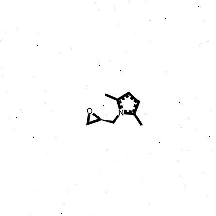 Cc1ccc(C)n1C[C@H]1CO1